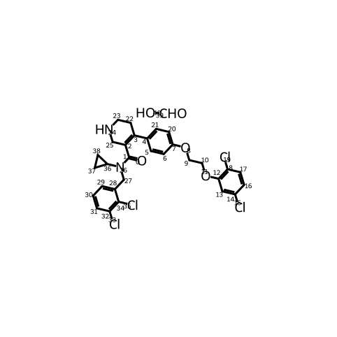 O=C(C1=C(c2ccc(OCCOc3cc(Cl)ccc3Cl)cc2)CCNC1)N(Cc1cccc(Cl)c1Cl)C1CC1.O=CO